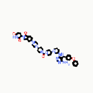 Nc1ncnc2c1c(-c1ccc(Oc3ccccc3)cc1)nn2C1CCCN(C2CCN(C(=O)N3CCC(N4CCN(c5ccc6c(c5)CN(C5CCC(=O)NC5=O)C6=O)CC4)CC3)CC2)C1